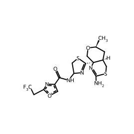 C[C@H]1C[C@H]2CSC(N)=N[C@@]2(C2=NC(NC(=O)c3coc(CC(F)(F)F)n3)CS2)CO1